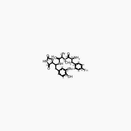 CC(C)C(C(=O)NC(Cc1ccc(O)c(C(C)(C)C)c1)C1NC(=O)NC1=O)N(C)C(=O)C(N)Cc1ccc(F)cc1